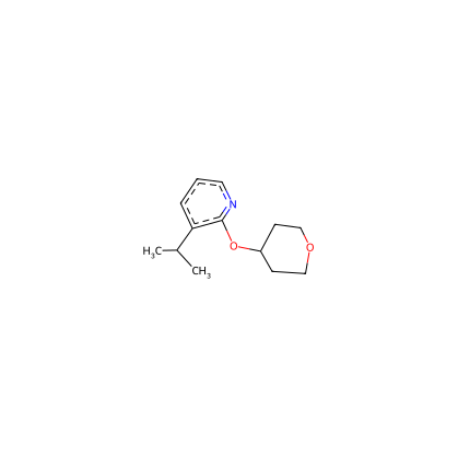 CC(C)c1cccnc1OC1CCOCC1